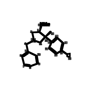 CN[C@@H]1CN(Cc2ccccc2)C[C@@]1(C)c1ccc(Cl)cc1